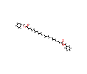 O=C(CCCCCCCCCCCCCCCCCCCC(=O)OCC1CCCCC1)OCC1CCCCC1